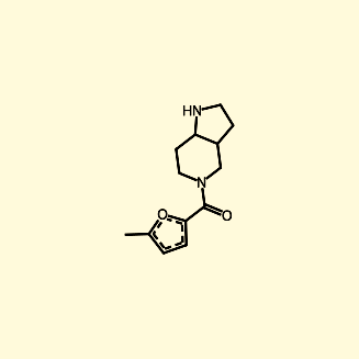 Cc1ccc(C(=O)N2CCC3NCCC3C2)o1